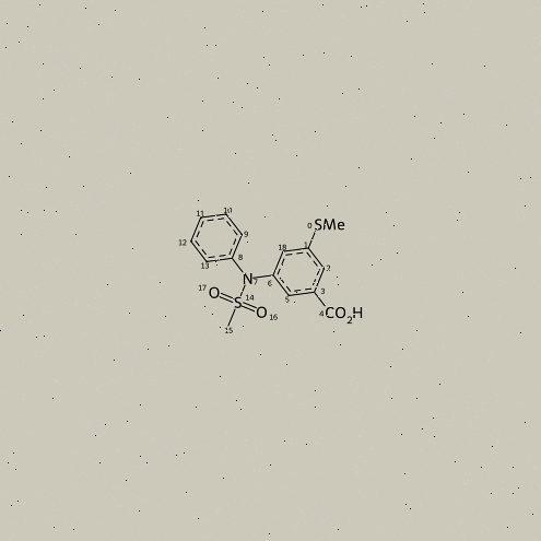 CSc1cc(C(=O)O)cc(N(c2ccccc2)S(C)(=O)=O)c1